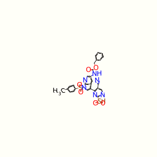 Cc1ccc(S(=O)(=O)n2cc(-c3nc([SH](=O)=O)ncc3C#N)c3cc(NC(=O)OCc4ccccc4)cnc32)cc1